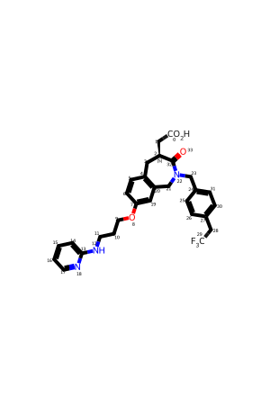 O=C(O)C[C@@H]1Cc2ccc(OCCCNc3ccccn3)cc2CN(Cc2ccc(CC(F)(F)F)cc2)C1=O